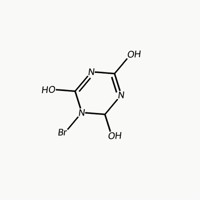 OC1=NC(O)N(Br)C(O)=N1